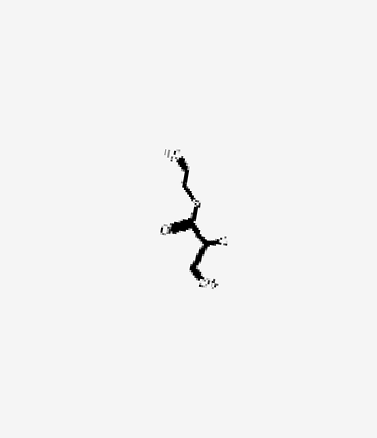 C=CCOC(=O)C(Cl)CC